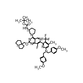 COc1ccc(CN(Cc2ccc(OC)cc2)c2cc(C)c(C(F)(F)F)c(-c3ncc4c(N5CCC[C@H](NC(=O)OC(C)(C)C)C5)nc(OCC56CCCN5CCC6)nc4c3F)n2)cc1